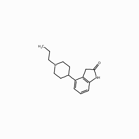 CCCN1CCC(c2cccc3c2CC(=O)N3)CC1